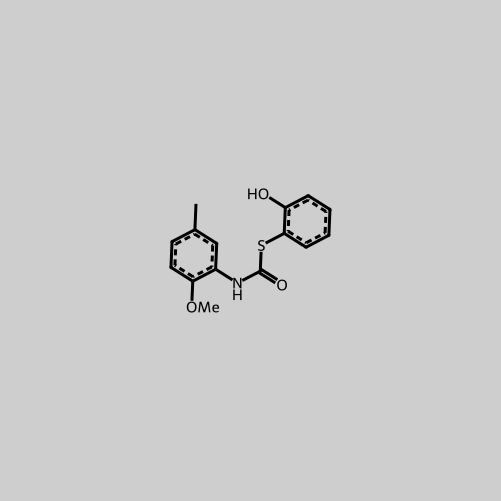 COc1ccc(C)cc1NC(=O)Sc1ccccc1O